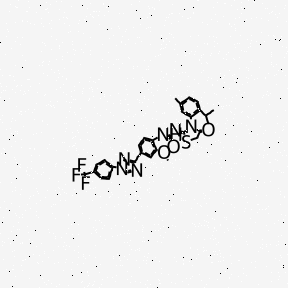 COc1cc(-c2ncn(-c3ccc(C(F)(F)F)cc3)n2)ccc1NC(=O)/N=C1\SCC(=O)N1c1cc(C)ccc1C(C)C